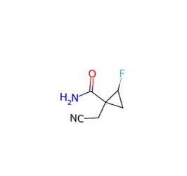 N#CCC1(C(N)=O)CC1F